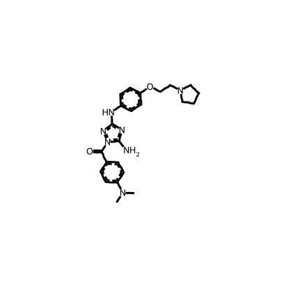 CN(C)c1ccc(C(=O)n2nc(Nc3ccc(OCCN4CCCC4)cc3)nc2N)cc1